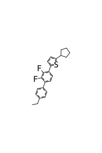 CCc1ccc(-c2ccc(-c3ccc(C4CCCC4)s3)c(F)c2F)cc1